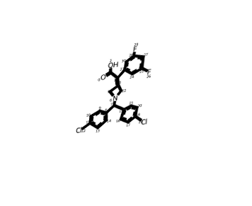 O=C(O)C(=C1CN(C(c2ccc(Cl)cc2)c2ccc(Cl)cc2)C1)c1cc(F)cc(F)c1